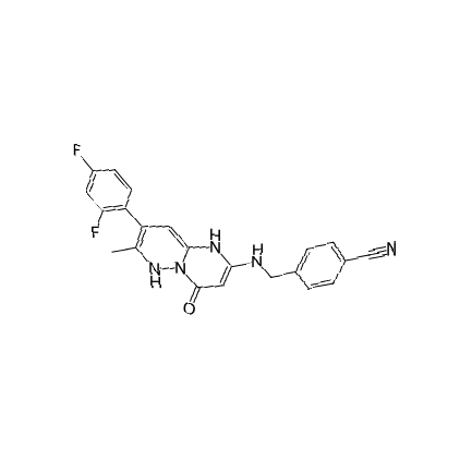 CC1=C(c2ccc(F)cc2F)C=C2NC(NCc3ccc(C#N)cc3)=CC(=O)N2N1